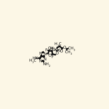 CNc1nc(N)nc2c1ncn2[C@@H]1O[C@]2(F)COP(=S)(C[C@@H](C)C(=O)OC(C)C)O[C@H]2[C@@]1(C)F